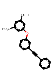 O=C(O)c1cc(Oc2cccc(C#Cc3ccccc3)c2)cc(C(=O)O)c1